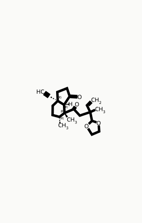 C#C[C@]12CCC(=O)[C@H]1[C@](C)(C(=O)CC(C)(C=C)C1OCCO1)[C@H](C)CC2